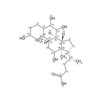 C[C@H](CCC(=O)O)[C@H]1CC[C@H]2[C@@H]3C(O)C(O)C4CCC(O)C[C@]4(C)[C@H]3CC(O)[C@]12C